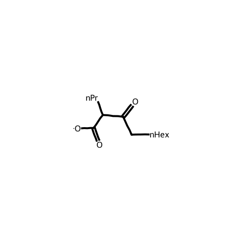 CCCCCCCC(=O)C(CCC)C([O])=O